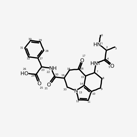 CNC(C)C(=O)NC1CCc2ccn3c2C1C(=O)CC(C(=O)NC(C(=O)O)c1ccccc1)C3